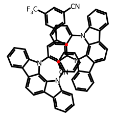 N#Cc1cc(-c2cc(-n3c4ccccc4c4ccc5c6ccccc6n(-c6ccccc6)c5c43)c(C#N)c(-n3c4ccccc4c4ccc5c6ccccc6n(-c6ccccc6)c5c43)c2)cc(C(F)(F)F)c1